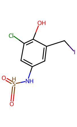 O=[SH](=O)Nc1cc(Cl)c(O)c(CI)c1